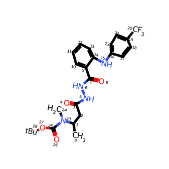 CC(CC(=O)NNC(=O)c1ccccc1Nc1ccc(C(F)(F)F)cc1)N(C)C(=O)OC(C)(C)C